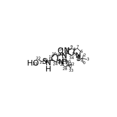 CC(C)(C)SN1CCc2cnc(NC(=O)c3ccc(NSCCO)cc3N3CCC4(CC3)CC4)cc21